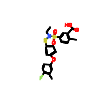 CCN(Sc1ccc(Oc2ccc(F)c(C)c2)cc1)S(=O)(=O)c1ccc(C)c(C(=O)O)c1